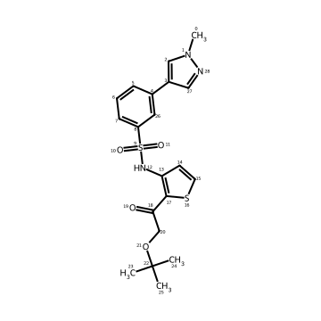 Cn1cc(-c2cccc(S(=O)(=O)Nc3ccsc3C(=O)COC(C)(C)C)c2)cn1